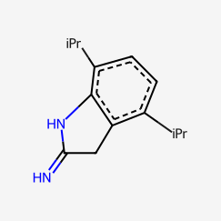 CC(C)c1ccc(C(C)C)c2c1CC(=N)N2